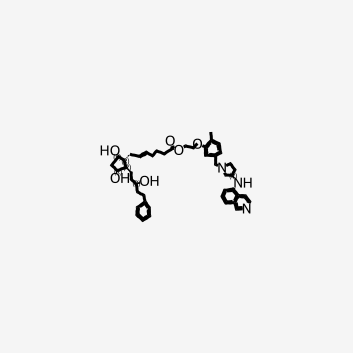 Cc1ccc(CN2CC[C@@H](Nc3cccc4cnccc34)C2)cc1OCCOC(=O)CCCC=CC[C@@H]1[C@@H](CC[C@@H](O)CCc2ccccc2)[C@H](O)C[C@@H]1O